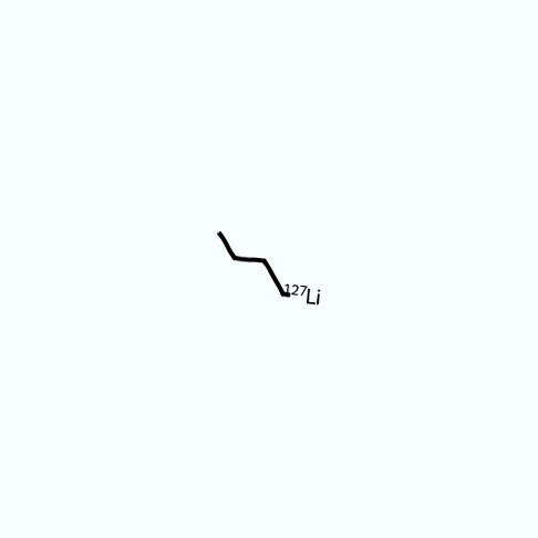 [127Li][CH2]CCC